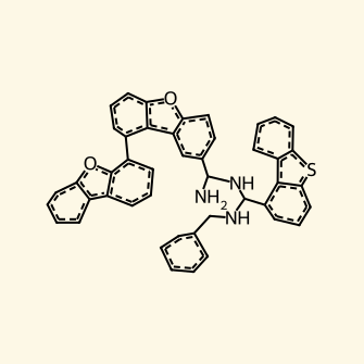 NC(NC(NCc1ccccc1)c1cccc2sc3ccccc3c12)c1ccc2oc3cccc(-c4cccc5c4oc4ccccc45)c3c2c1